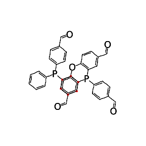 O=Cc1ccc(P(c2ccccc2)c2cc(C=O)ccc2Oc2ccc(C=O)cc2P(c2ccccc2)c2ccc(C=O)cc2)cc1